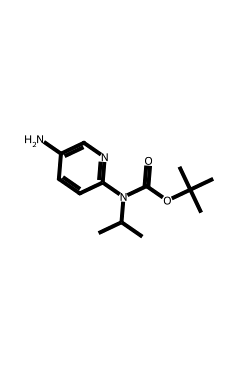 CC(C)N(C(=O)OC(C)(C)C)c1ccc(N)cn1